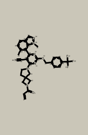 C=CC(=O)N1CC2(CCN(c3nc(OCc4ccc(C(F)(F)F)cc4)nc(-c4c(C)ccc5cnn(C)c45)c3C#N)C2)C1